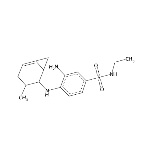 CCNS(=O)(=O)c1ccc(NC2C(C)CC=C3CC32)c(N)c1